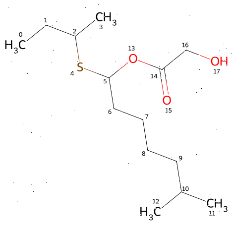 CCC(C)SC(CCCCC(C)C)OC(=O)CO